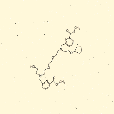 COC(=O)c1cccc(CN(CCO)CCOCCOCCN(CCOC2CCCC2)Cc2cccc(C(=O)OC)n2)n1